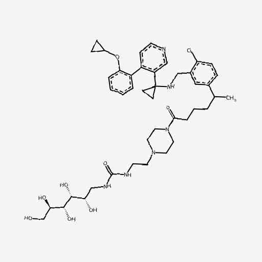 CC(CCCC(=O)N1CCN(CCNC(=O)NC[C@H](O)[C@@H](O)[C@H](O)[C@H](O)CO)CC1)c1ccc(Cl)c(CNC2(c3cnccc3-c3ccccc3OC3CC3)CC2)c1